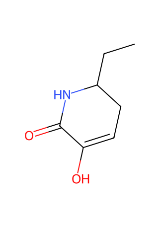 CCC1CC=C(O)C(=O)N1